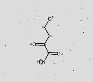 NC(=O)C(=O)CC[O]